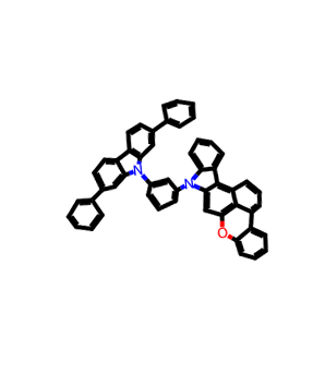 c1ccc(-c2ccc3c4ccc(-c5ccccc5)cc4n(-c4cccc(-n5c6ccccc6c6c7cccc8c7c(cc65)Oc5ccccc5-8)c4)c3c2)cc1